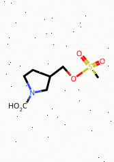 CS(=O)(=O)OCC1CCN(C(=O)O)C1